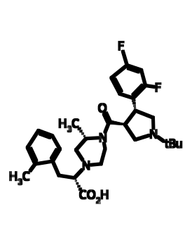 Cc1ccccc1C[C@@H](C(=O)O)N1CCN(C(=O)[C@@H]2CN(C(C)(C)C)C[C@H]2c2ccc(F)cc2F)[C@@H](C)C1